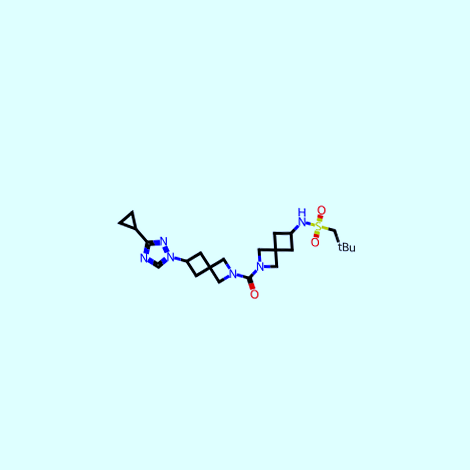 CC(C)(C)CS(=O)(=O)NC1CC2(C1)CN(C(=O)N1CC3(CC(n4cnc(C5CC5)n4)C3)C1)C2